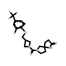 O=C1CCC2(CCN(C(=O)N3CC(COc4ccc(C(F)(F)F)cc4F)C3)C2)N1